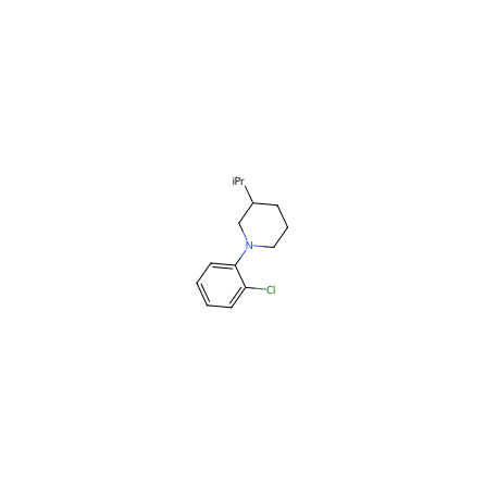 CC(C)C1CCCN(c2ccccc2Cl)C1